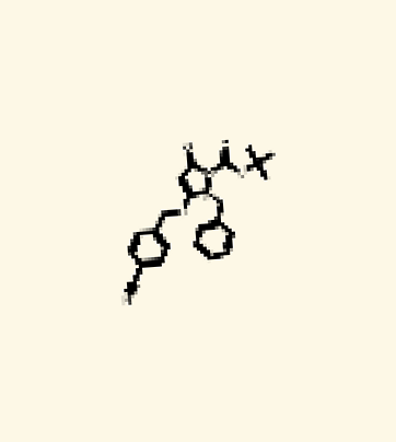 CC(C)(C)OC(=O)N1C(=O)C=C(OCc2ccc(C#N)cc2)[C@@H]1Cc1ccccc1